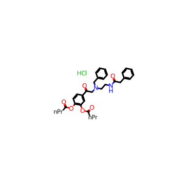 CCCC(=O)Oc1ccc(C(=O)CN(CCNC(=O)Cc2ccccc2)Cc2ccccc2)cc1OC(=O)CCC.Cl